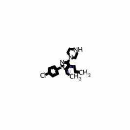 C=C/C=c1/c(N2CCNCC2)nn(-c2ccc(Cl)cc2)/c1=C/C